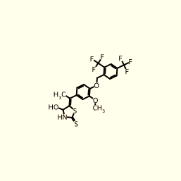 COc1cc(C(C)=C2SC(=S)NC2O)ccc1OCc1ccc(C(F)(F)F)cc1C(F)(F)F